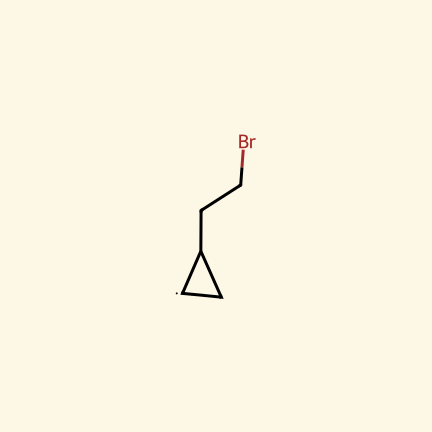 BrCCC1[CH]C1